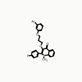 CC(=O)c1cccc(OCCCOc2c(-c3ccc(F)cc3)n(C)c3ccccc3c2=O)c1